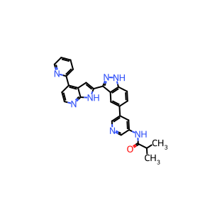 CC(C)C(=O)Nc1cncc(-c2ccc3[nH]nc(-c4cc5c(-c6ccccn6)ccnc5[nH]4)c3c2)c1